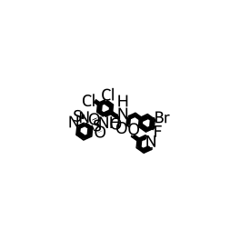 O=C(NC(Cc1ccc(F)c(Br)c1)C(=O)OCc1cccnc1)c1cc(Cl)c(Cl)cc1NS(=O)(=O)c1cccc2nsnc12